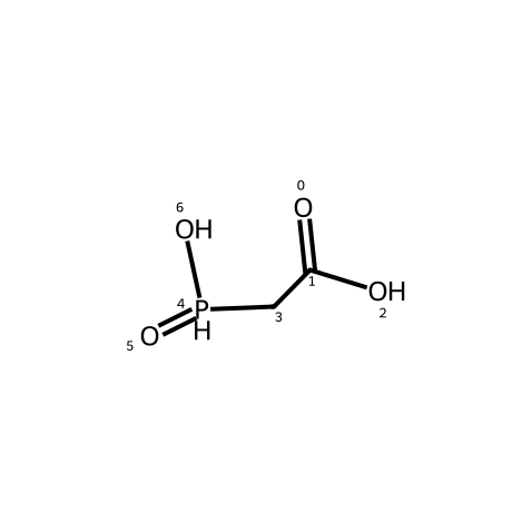 O=C(O)C[PH](=O)O